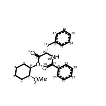 CO[C@@H]1CCCC[C@H]1OC(=O)[C@H](Cc1ccccc1)NC(=O)c1ccccc1